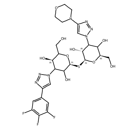 OCC1O[C@@H](S[C@@H]2O[C@H](CO)C(O)C(n3cc(N4CCOCC4)nn3)[C@H]2O)C(O)C(n2cc(-c3cc(F)c(F)c(F)c3)nn2)[C@H]1O